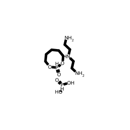 NCCNCCN.O=[PH](O)O.O=[PH]1OCCCCCO1